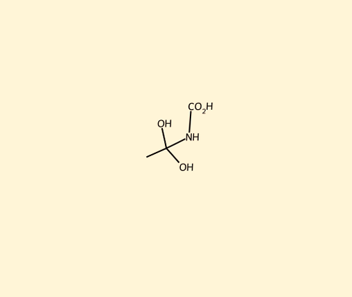 CC(O)(O)NC(=O)O